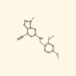 COc1ccc(CNc2cc(C#N)c3cnn(C)c3c2)c(OC)c1